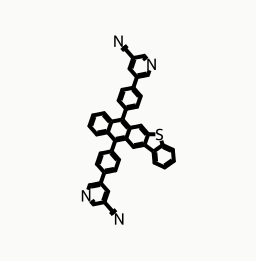 N#Cc1cncc(-c2ccc(-c3c4ccccc4c(-c4ccc(-c5cncc(C#N)c5)cc4)c4cc5c(cc34)sc3ccccc35)cc2)c1